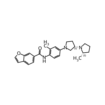 Cc1cc(N2CC[C@H](N3CCC[C@@H]3C)C2)ccc1NC(=O)c1ccc2ccoc2c1